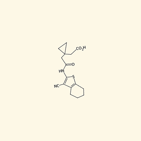 N#Cc1c(NC(=O)CC2(CC(=O)O)CC2)sc2c1CCCC2